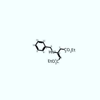 CCOC(=O)/C=C(/CC(=O)OCC)NCc1ccccc1